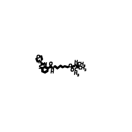 CC(C)(C)NC(=O)OCCCCCCNC(=O)c1cccc2sc(N3CCOCC3)nc12